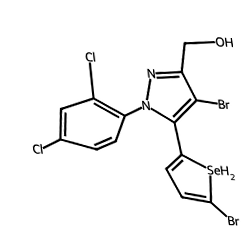 OCc1nn(-c2ccc(Cl)cc2Cl)c(C2=CC=C(Br)[SeH2]2)c1Br